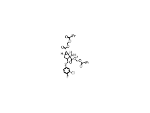 CC(C)C(=O)OCOC(=O)[C@H]1[C@@H]2CC(CSc3ccc(F)c(Cl)c3)[C@@](N)(C(=O)OCOC(=O)C(C)C)[C@@H]21